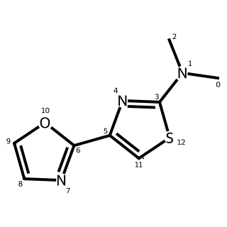 CN(C)c1nc(-c2ncco2)[c]s1